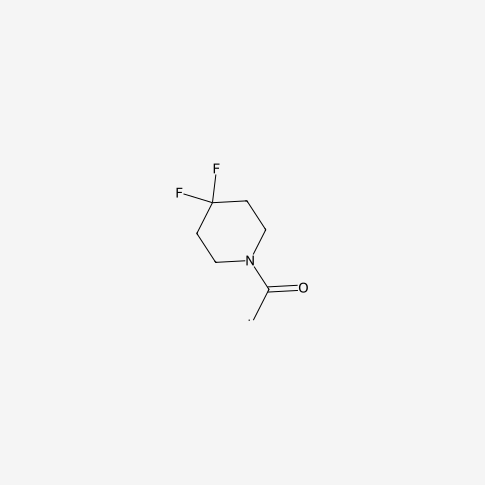 [CH2]C(=O)N1CCC(F)(F)CC1